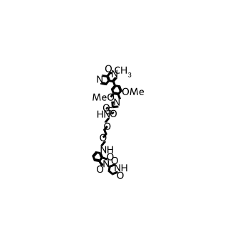 COc1cc(-c2cn(C)c(=O)c3cnccc23)cc(OC)c1CN1CC(S(=O)(=O)NCCOCCOCCNc2cccc3c2C(=O)N(C2CCC(=O)NC2=O)C3=O)C1